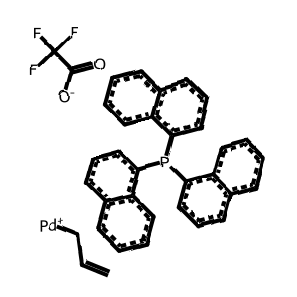 C=C[CH2][Pd+].O=C([O-])C(F)(F)F.c1ccc2c(P(c3cccc4ccccc34)c3cccc4ccccc34)cccc2c1